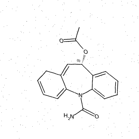 CC(=O)O[C@H]1C=C2CC=CC=C2N(C(N)=O)c2ccccc21